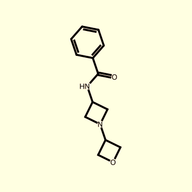 O=C(NC1CN(C2COC2)C1)c1ccccc1